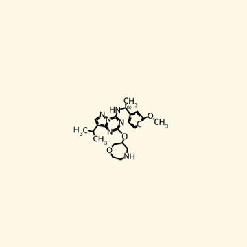 COc1cccc([C@H](C)Nc2nc(OC3CNCCOC3)nc3c(C(C)C)cnn23)c1